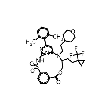 Cc1cccc(C)c1-c1cc2nc(n1)NS(=O)(=O)c1cccc(c1)C(=O)OCC(CCC1(C(F)(F)F)CC1)N2CCC1CCOCC1